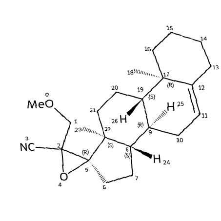 COCC1(C#N)O[C@@]12CC[C@H]1[C@@H]3CC=C4CCCC[C@]4(C)[C@H]3CC[C@@]12C